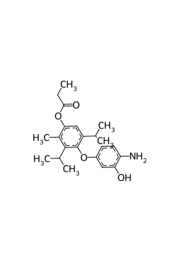 CCC(=O)Oc1cc(C(C)C)c(Oc2ccc(N)c(O)c2)c(C(C)C)c1C